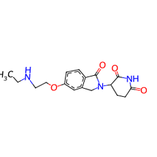 CCNCCOc1ccc2c(c1)CN(C1CCC(=O)NC1=O)C2=O